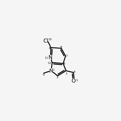 Cn1cc(C=O)c2ccc(Cl)nc21